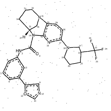 O=C(Nc1cccc(-c2cnco2)c1)N1c2nc(N3CCCC(C(F)(F)F)C3)ccc2N2CCC[C@@H]1C2